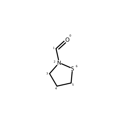 O=CN1CCCS1